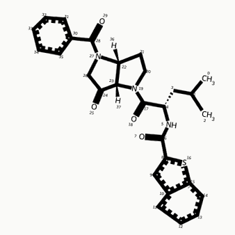 CC(C)C[C@H](NC(=O)c1cc2ccccc2s1)C(=O)N1CC[C@@H]2[C@H]1C(=O)CN2C(=O)c1ccccc1